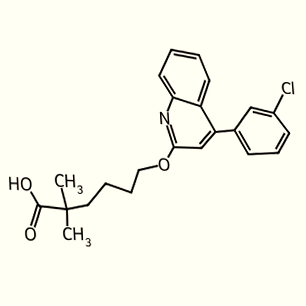 CC(C)(CCCCOc1cc(-c2cccc(Cl)c2)c2ccccc2n1)C(=O)O